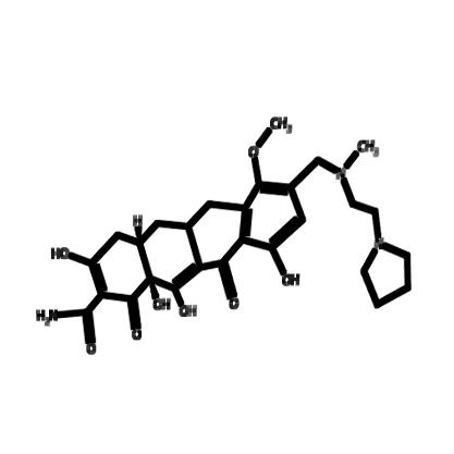 COc1c(CN(C)CCN2CCCC2)cc(O)c2c1CC1C[C@H]3CC(O)=C(C(N)=O)C(=O)[C@@]3(O)C(O)=C1C2=O